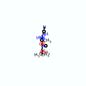 Cc1c(OC(=O)N(CCCC(=O)OC(C)(C)C)c2ccccc2)ccc2[nH]c(CNc3ccc(C#N)cc3)nc12